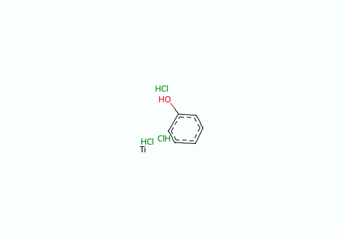 Cl.Cl.Cl.Oc1ccccc1.[Ti]